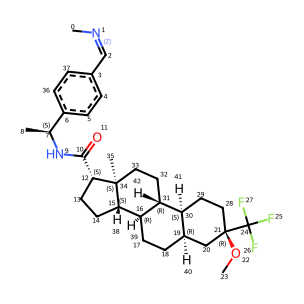 C/N=C\c1ccc([C@H](C)NC(=O)[C@H]2CC[C@H]3[C@@H]4CC[C@@H]5C[C@@](OC)(C(F)(F)F)CC[C@@H]5[C@H]4CC[C@]23C)cc1